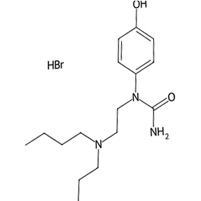 Br.CCCCN(CCC)CCN(C(N)=O)c1ccc(O)cc1